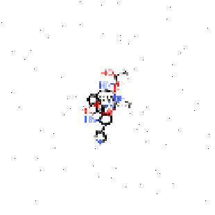 COC(=O)c1nc2oc1[C@]13c4cc(ccc4OC1Nc1c(-c4ccncc4)cccc13)C[C@H](NC(=O)[C@@H](O)C(C)C)C(=O)N[C@H]2C(C)C